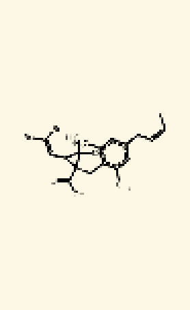 Cc1cc(C/C=C\Cl)cc(C)c1C[C@@]1(C(=O)O)C(C=C(Br)Br)C1(C)C